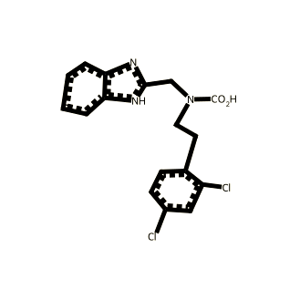 O=C(O)N(CCc1ccc(Cl)cc1Cl)Cc1nc2ccccc2[nH]1